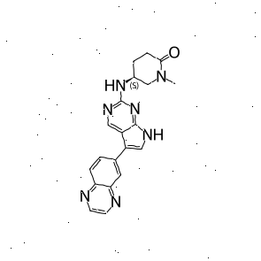 CN1C[C@@H](Nc2ncc3c(-c4ccc5nccnc5c4)c[nH]c3n2)CCC1=O